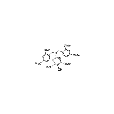 COc1ccc(CN(Cc2ccc(OC)cc2OC)c2nc(OC)c(O)c(OC)n2)c(OC)c1